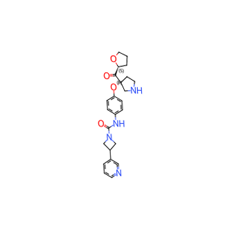 O=C(Nc1ccc(O[C@]2(C(=O)[C@@H]3CCCO3)CCNC2)cc1)N1CC(c2cccnc2)C1